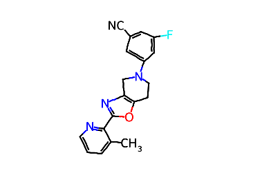 Cc1cccnc1-c1nc2c(o1)CCN(c1cc(F)cc(C#N)c1)C2